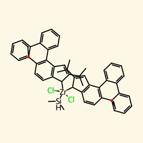 CCc1ccc2c(c1-c1ccccc1-c1ccccc1)C=C(C(C)C)[CH]2[Zr]([Cl])([Cl])([CH]1C(C(C)C)=Cc2c1ccc(CC)c2-c1ccccc1-c1ccccc1)[SiH](C)C